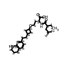 CCC(CC(F)F)C(=O)N[C@@H](CCOC1CC(CCc2ccc3c(n2)NCCC3)C1)C(=O)O